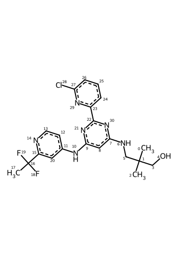 CC(C)(CO)CNc1cc(Nc2ccnc(C(C)(F)F)c2)nc(-c2cccc(Cl)n2)n1